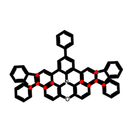 c1ccc(-c2ccc(-c3cc(-c4ccccc4)cc(-c4ccc(-c5ccccc5)cc4)c3N3c4cc(-c5cc6ccccc6o5)ccc4Oc4ccc(-c5cc6ccccc6o5)cc43)cc2)cc1